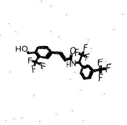 O=C(C=Cc1ccc(CO)c(C(F)(F)F)c1)NC(c1cccc(C(F)(F)F)c1)C(F)(F)F